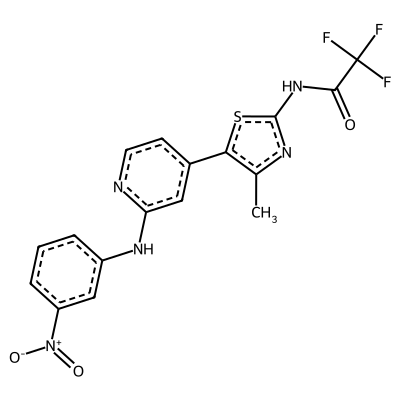 Cc1nc(NC(=O)C(F)(F)F)sc1-c1ccnc(Nc2cccc([N+](=O)[O-])c2)c1